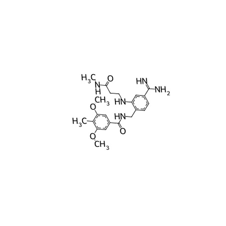 CNC(=O)CCNc1cc(C(=N)N)ccc1CNC(=O)c1cc(OC)c(C)c(OC)c1